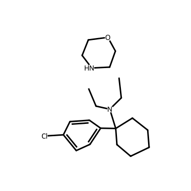 C1COCCN1.CCN(CC)C1(c2ccc(Cl)cc2)CCCCC1